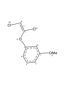 COc1cccc(O/C(Cl)=C\Cl)c1